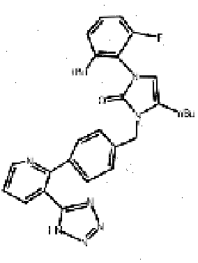 CCCCc1cn(-c2c(F)cccc2C(C)(C)C)c(=O)n1Cc1ccc(-c2ncccc2-c2nnn[nH]2)cc1